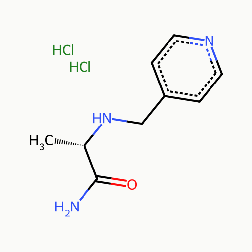 C[C@H](NCc1ccncc1)C(N)=O.Cl.Cl